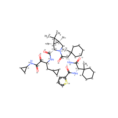 CC1([C@H](NC(=O)c2cccs2)C(=O)N[C@H](C(=O)N2C[C@H]3[C@@H]([C@H]2C(=O)NC(CC2CC2)C(=O)C(=O)NC2CC2)C3(C)C)C2(C)CCCCC2)CCCCC1